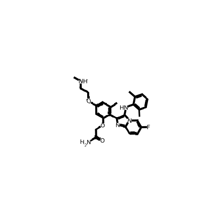 CNCCOc1cc(C)c(-c2nc3ccc(F)cn3c2Nc2c(C)cccc2C)c(OCC(N)=O)c1